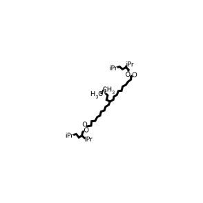 CC(C)CCC(COC(=O)CCCCCCCCCC(CCCCCCCCCC(=O)OCC(CCC(C)C)C(C)C)CCN(C)C)C(C)C